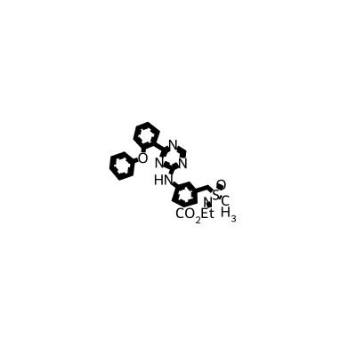 CCOC(=O)N=S(C)(=O)Cc1cccc(Nc2ncnc(-c3ccccc3Oc3ccccc3)n2)c1